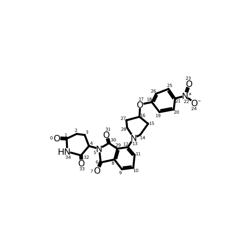 O=C1CCC(N2C(=O)c3cccc(N4CCC(Oc5ccc([N+](=O)[O-])cc5)CC4)c3C2=O)C(=O)N1